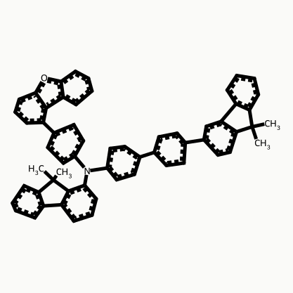 CC1(C)c2ccccc2-c2cc(-c3ccc(-c4ccc(N(c5ccc(-c6cccc7oc8ccccc8c67)cc5)c5cccc6c5C(C)(C)c5ccccc5-6)cc4)cc3)ccc21